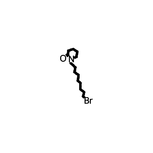 O=C1CCCCN1CCCCCCCCCBr